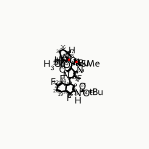 CSc1nc2c3c(nc(-c4cc(NC(=O)OC(C)(C)C)c(F)c5ccc(F)c(F)c45)c(F)c3n1)O[C@@H](C)[C@@H]1[C@@H]3CC[C@H](CN21)N3C(=O)OC(C)(C)C